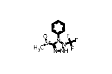 C[S+]([O-])C1=NNN(C(F)(F)F)N1c1ccccc1